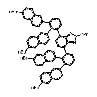 CCCCc1ccc2cc(-c3cccc(-c4ccc(-c5cccc(-c6ccc7cc(CCCC)ccc7c6)c5-c5ccc6cc(CCCC)ccc6c5)c5c4=NC(CCC)N=5)c3-c3ccc4cc(CCCC)ccc4c3)ccc2c1